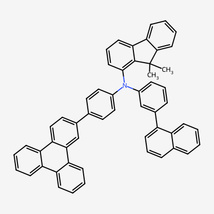 CC1(C)c2ccccc2-c2cccc(N(c3ccc(-c4ccc5c6ccccc6c6ccccc6c5c4)cc3)c3cccc(-c4cccc5ccccc45)c3)c21